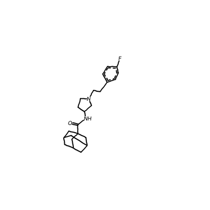 O=C(NC1CCN(CCc2ccc(F)cc2)C1)C12CC3CC(CC(C3)C1)C2